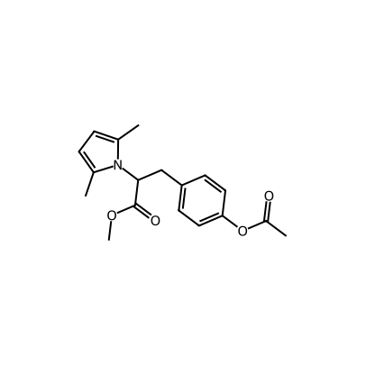 COC(=O)C(Cc1ccc(OC(C)=O)cc1)n1c(C)ccc1C